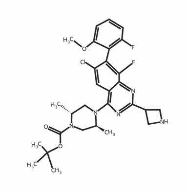 COc1cccc(F)c1-c1c(Cl)cc2c(N3C[C@@H](C)N(C(=O)OC(C)(C)C)C[C@@H]3C)nc(C3CNC3)nc2c1F